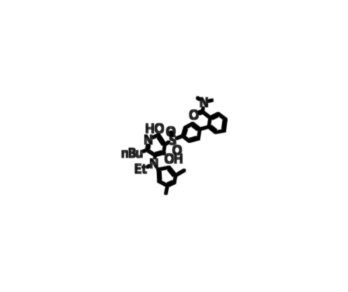 CCCCc1nc(O)c(S(=O)(=O)c2ccc(-c3ccccc3C(=O)N(C)C)cc2)c(O)c1N(CC)c1cc(C)cc(C)c1